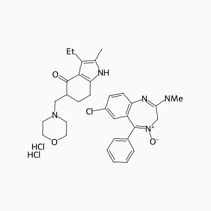 CCc1c(C)[nH]c2c1C(=O)C(CN1CCOCC1)CC2.CNC1=Nc2ccc(Cl)cc2C(c2ccccc2)=[N+]([O-])C1.Cl.Cl